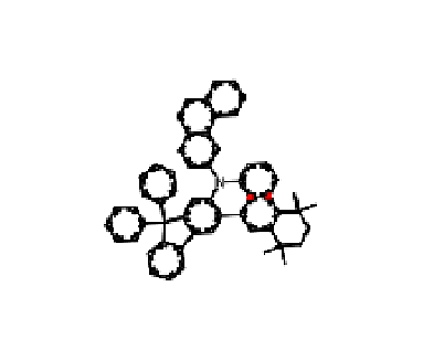 CC1(C)CCC(C)(C)c2cc(-c3cc4c(cc3N(c3ccccc3)c3ccc5ccc6ccccc6c5c3)C(c3ccccc3)(c3ccccc3)c3ccccc3-4)ccc21